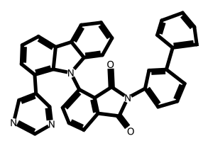 O=C1c2cccc(-n3c4ccccc4c4cccc(-c5cncnc5)c43)c2C(=O)N1c1cccc(-c2ccccc2)c1